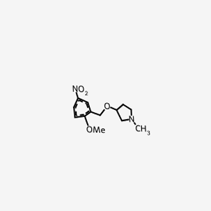 COc1ccc([N+](=O)[O-])cc1COC1CCN(C)C1